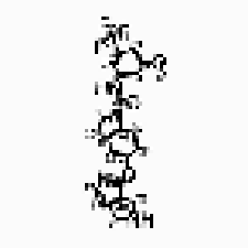 COc1cc(NC(=O)n2ccc3cc(Oc4ncnc5c4CNC5)ccc32)cc(C(F)(F)F)c1